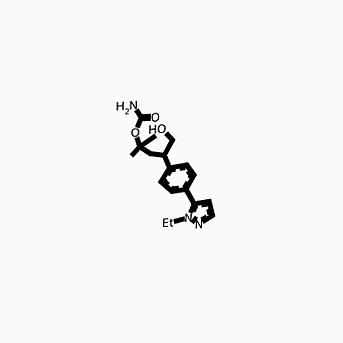 CCn1nccc1-c1ccc(C(CO)CC(C)(C)OC(N)=O)cc1